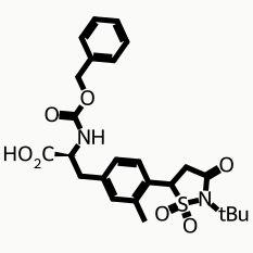 Cc1cc(C[C@H](NC(=O)OCc2ccccc2)C(=O)O)ccc1C1CC(=O)N(C(C)(C)C)S1(=O)=O